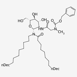 CCCCCCCCCCCCCCCCCCN(C(=O)CCCCCCCCCCCCCCCCC)[C@@H]1O[C@H](CO)[C@@H](O)[C@H](O)[C@H]1NC(=O)CN(C)C(=O)OCc1ccccc1